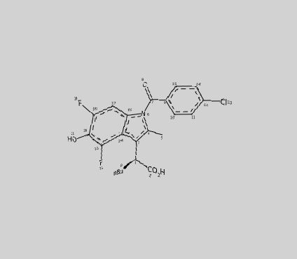 CCCC[C@H](C(=O)O)c1c(C)n(C(=O)c2ccc(Cl)cc2)c2cc(F)c(O)c(F)c12